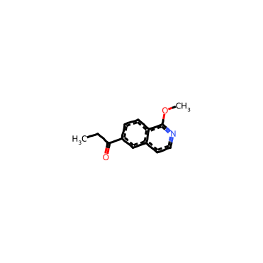 CCC(=O)c1ccc2c(OC)nccc2c1